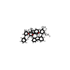 Cc1cc(C)c(-c2cccc3c4cccc(-c5c(C)cc(C)cc5C)c4n(-c4cccc5c4C(=O)N(c4cccc(-c6ccccc6)c4)C5=O)c23)c(C)c1